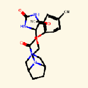 N#Cc1ccc(OCCN2C3CCC2CN(C(=O)CC2NC(=O)NC2=O)C3)c(C#N)c1